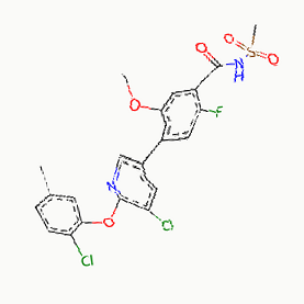 COc1cc(C(=O)NS(C)(=O)=O)c(F)cc1-c1cnc(Oc2cc(C)ccc2Cl)c(Cl)c1